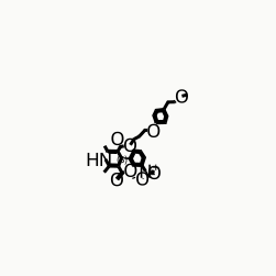 COCCc1ccc(OCCCOC(=O)C2=C(C)NC(C)=C(C(=O)OC)[C@@H]2c2cccc([N+](=O)[O-])c2)cc1